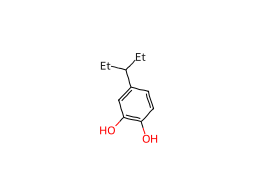 CCC(CC)c1ccc(O)c(O)c1